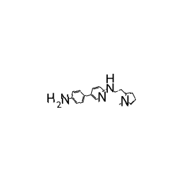 CN1CCCC1CCNc1ccc(-c2ccc(N)cc2)cn1